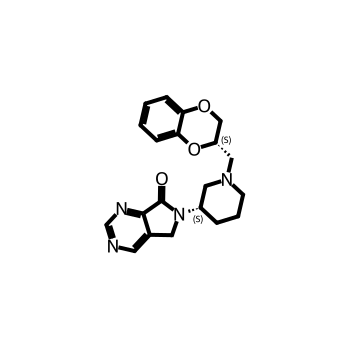 O=C1c2ncncc2CN1[C@H]1CCCN(C[C@H]2COc3ccccc3O2)C1